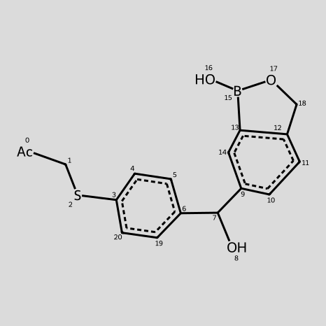 CC(=O)CSc1ccc(C(O)c2ccc3c(c2)B(O)OC3)cc1